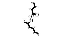 CCCCC(C)OOC(=O)CCC